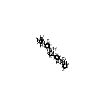 CN1C[C@@H]2C[C@H]1CN2c1ccc(Nc2nccc(-c3ccc(C(=O)Nc4ccccn4)cc3)n2)cc1F